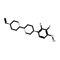 C=C[C@H]1CC[C@H]([C@H]2CC[C@H](c3ccc(OCC)c(F)c3F)CC2)CC1